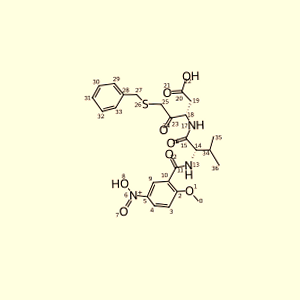 COc1ccc([N+](=O)O)cc1C(=O)N[C@H](C(=O)N[C@@H](CC(=O)O)C(=O)CSCc1ccccc1)C(C)C